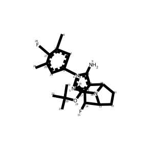 Cc1cc(-n2nc3c(c2N)C2CCC(C3F)N2C(=O)OC(C)(C)C)cc(C)c1F